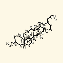 CCC1CCO[C@]2(C1)O[C@H]1C[C@H]3[C@@H]4CC[C@@H]5C[C@H](C)CC[C@]5(C)[C@H]4CC[C@]3(C)[C@H]1[C@@H]2C